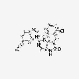 [C-]#[N+]c1ccc2ncn(-c3ncc4[nH]c(=O)n(Cc5c(Cl)cccc5Cl)c4n3)c2c1